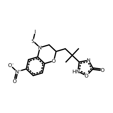 CC(C)(CC1CN(SI)c2cc([N+](=O)[O-])ccc2O1)c1nc(=O)o[nH]1